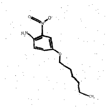 CCCCCCOc1ccc(N)c([N+](=O)[O-])c1